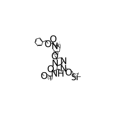 COC[C@H](C)NC(=O)c1cn(COCC[Si](C)(C)C)c2ncc(O[C@H]3CC[C@@H](C)N(C(=O)OCc4ccccc4)C3)nc12